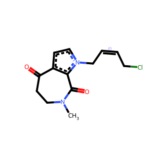 CN1CCC(=O)c2ccn(C/C=C\CCl)c2C1=O